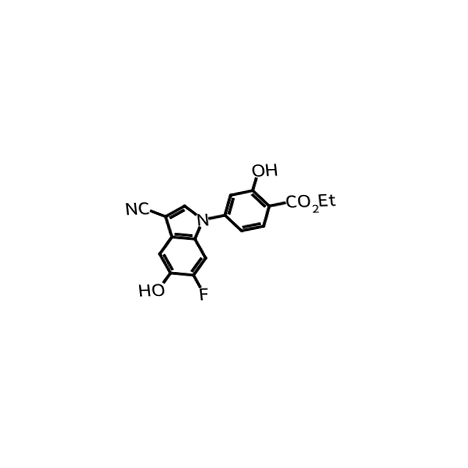 CCOC(=O)c1ccc(-n2cc(C#N)c3cc(O)c(F)cc32)cc1O